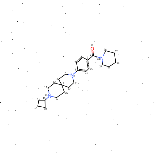 O=C(c1ccc(N2CCC3(CC2)CCN(C2CCC2)CC3)cc1)N1CCCCC1